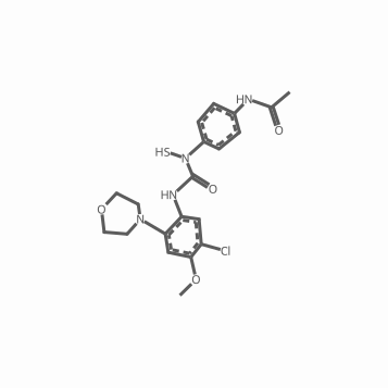 COc1cc(N2CCOCC2)c(NC(=O)N(S)c2ccc(NC(C)=O)cc2)cc1Cl